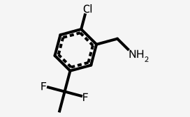 CC(F)(F)c1ccc(Cl)c(CN)c1